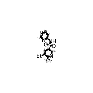 CCc1cc(S(=O)(=O)Nc2ccncn2)cnc1C(C)C